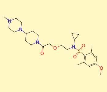 COc1cc(C)c(S(=O)(=O)N(CCOCC(=O)N2CCC(N3CCN(C)CC3)CC2)C2CC2)c(C)c1